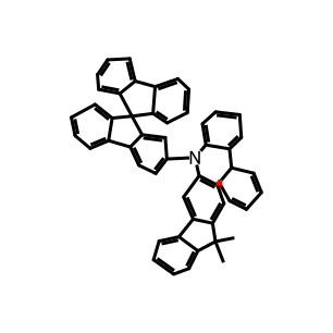 CC1(C)c2ccccc2-c2cc(N(c3ccc4c(c3)C3(c5ccccc5-c5ccccc53)c3ccccc3-4)c3ccccc3C3C=CC=CC3)ccc21